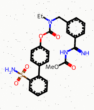 CCN(Cc1cccc(C(=N)NC(=O)OC)c1)C(=O)Oc1ccc(-c2ccccc2S(N)(=O)=O)cc1